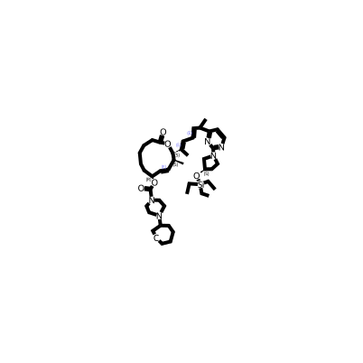 CC[Si](CC)(CC)O[C@H]1CCN(c2nccc(C(C)/C=C/C=C(\C)[C@H]3OC(=O)CCCCC[C@@H](OC(=O)N4CCN(C5CCCCCC5)CC4)/C=C/[C@@H]3C)n2)C1